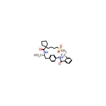 CS(=O)(=O)CCCCC1(C(=O)N[C@@H](Cc2ccc(NC(=O)c3ccccc3C(F)(F)F)cc2)C(=O)O)CCCC1